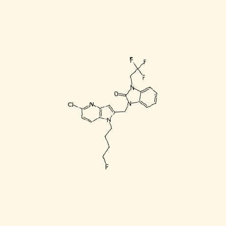 O=c1n(Cc2cc3nc(Cl)ccc3n2CCCCF)c2ccccc2n1CC(F)(F)F